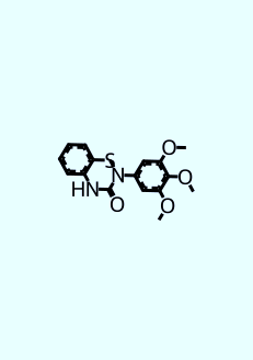 COc1cc(N2Sc3ccccc3NC2=O)cc(OC)c1OC